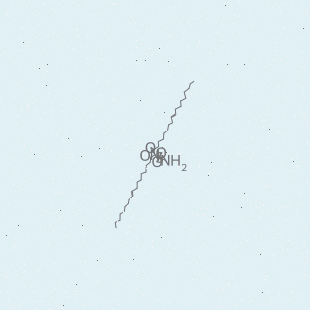 CCCCCCCCC=CCCCCCCCC(=O)N(C(=O)CCCCCCCC=CCCCCCCCC)S(N)(=O)=O